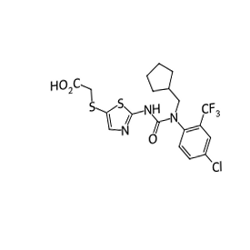 O=C(O)CSc1cnc(NC(=O)N(CC2CCCC2)c2ccc(Cl)cc2C(F)(F)F)s1